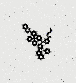 C=C(/C=C\C=C/C)c1cccc(N(c2ccc3c(c2)C(c2ccccc2)(c2ccccc2)c2cc(-c4ccc5ccccc5c4)ccc2-3)c2ccc3c4ccc5ccccc5c4n(-c4ccccc4)c3c2)c1